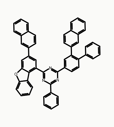 c1ccc(-c2nc(-c3ccc(-c4ccccc4)c(-c4ccc5ccccc5c4)c3)nc(-c3cc(-c4ccc5ccccc5c4)cc4oc5ccccc5c34)n2)cc1